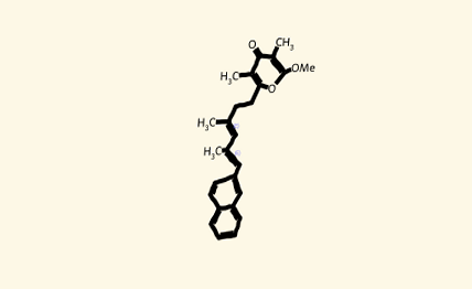 COc1oc(CC/C(C)=C/C(C)=C/c2ccc3ccccc3c2)c(C)c(=O)c1C